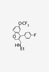 CCNCC1=C(c2ccc(F)cc2)c2cc(OC(F)(F)F)ccc2OC1